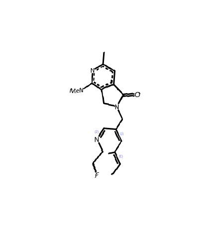 C/C=C(C)/C=C(\C=N/CCF)CN1Cc2c(cc(C)nc2NC)C1=O